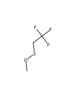 COSCC(F)(F)F